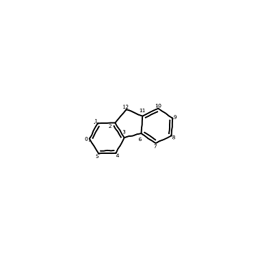 [c]1[c]c2c(cc1)-c1ccccc1C2